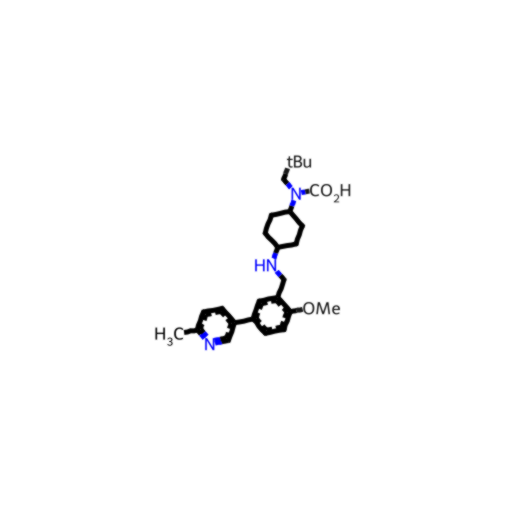 COc1ccc(-c2ccc(C)nc2)cc1CNC1CCC(N(CC(C)(C)C)C(=O)O)CC1